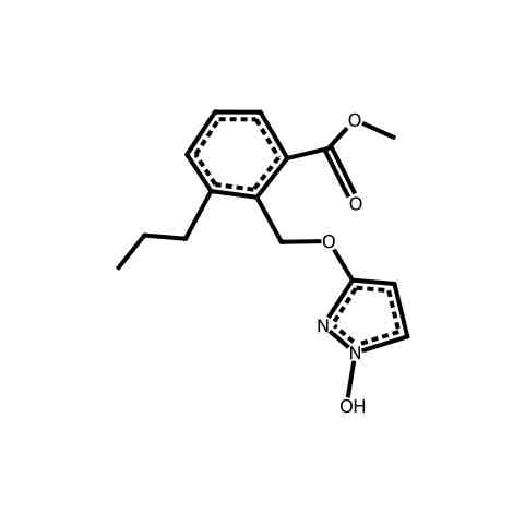 CCCc1cccc(C(=O)OC)c1COc1ccn(O)n1